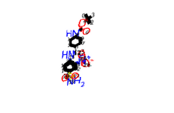 CC(C)(C)OC(=O)N[C@H]1CC[C@H](CNc2ccc(S(N)(=O)=O)cc2[N+](=O)[O-])CC1